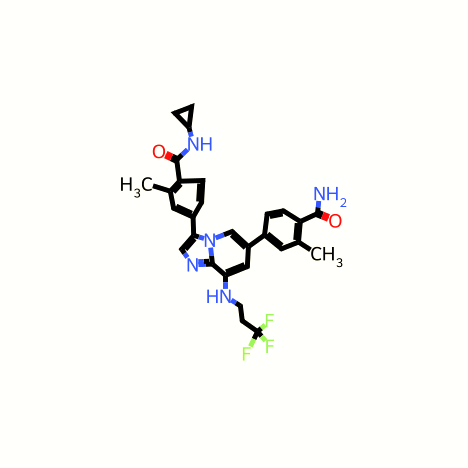 Cc1cc(-c2cc(NCCC(F)(F)F)c3ncc(-c4ccc(C(=O)NC5CC5)c(C)c4)n3c2)ccc1C(N)=O